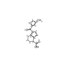 Cc1coc(C(=O)c2ccc3n2CCCC3C(=O)O)c1